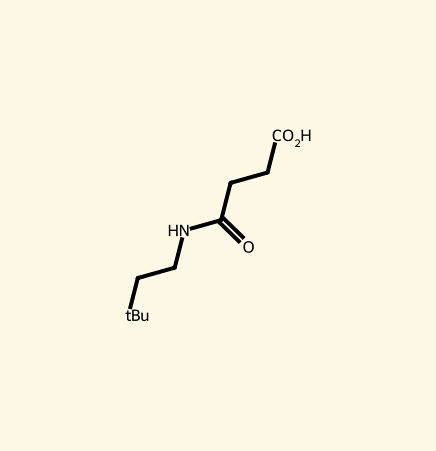 CC(C)(C)CCNC(=O)CCC(=O)O